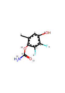 Cc1cc(O)c(F)c(F)c1OC(N)=O